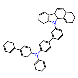 C1=CCCC(C2=CCC(N(C3=CCCC=C3)c3ccc(-c4cccc(N5C6=C(C=CCC6)C6C=CC7CCCC=C7C65)c4)cc3)C=C2)=C1